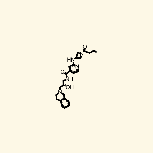 CCCC(=O)N1CC(Nc2cc(C(=O)NC[C@H](O)CN3CCc4ccccc4C3)ccn2)C1